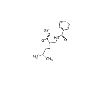 CC(C)CCC(CNC(=O)c1ccccc1)C(=O)[O-].[Na+]